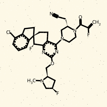 C=C(F)C(=O)N1CCN(c2nc(OC[C@H]3C[C@@H](F)CN3C)nc3c2CC[C@@]2(CCc4c(Cl)cccc42)[C@H]3F)C[C@@H]1CC#N